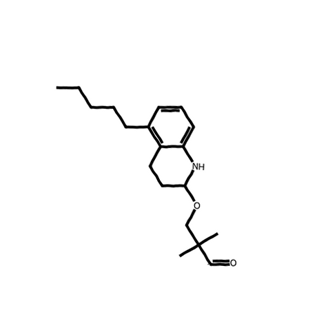 CCCCCc1cccc2c1CCC(OCC(C)(C)[C]=O)N2